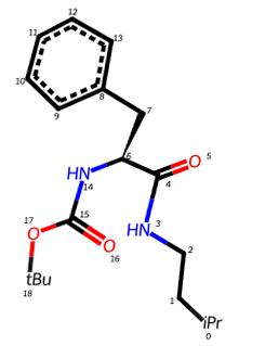 CC(C)CCNC(=O)[C@H](Cc1ccccc1)NC(=O)OC(C)(C)C